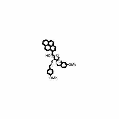 COc1ccc(COC[C@H]2[C@@H]([C@H](O)c3ccc4ccc5cccc6ccc3c4c56)OC[C@@]2(O)OCc2ccc(OC)cc2)cc1